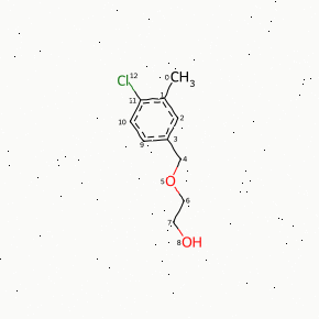 Cc1cc(COCCO)ccc1Cl